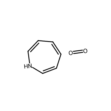 C1=CC=CNC=C1.O=O